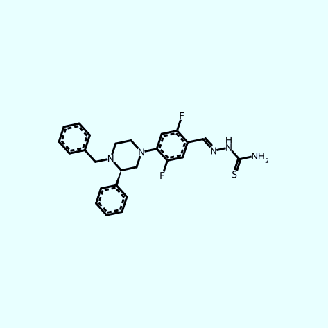 NC(=S)N/N=C/c1cc(F)c(N2CCN(Cc3ccccc3)[C@H](c3ccccc3)C2)cc1F